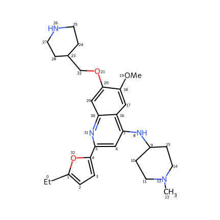 CCc1ccc(-c2cc(NC3CCN(C)CC3)c3cc(OC)c(OCC4CCNCC4)cc3n2)o1